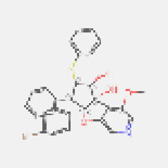 COc1cncc2c1[C@]1(O)[C@H](O)[C@H](Sc3ccccc3)[C@@H](c3ccccc3)[C@]1(c1ccc(Br)cc1)O2